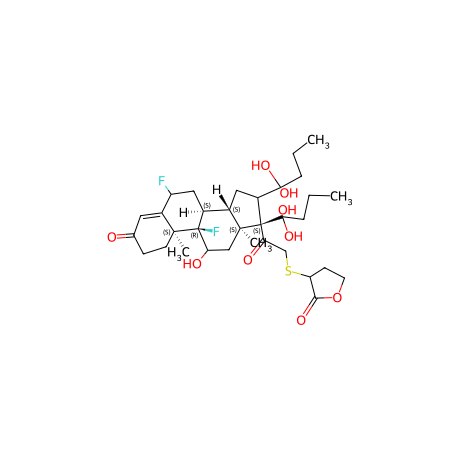 CCCC(O)(O)C1C[C@H]2[C@@H]3CC(F)C4=CC(=O)CC[C@]4(C)[C@@]3(F)C(O)C[C@]2(C)[C@]1(C(=O)CSC1CCOC1=O)C(O)(O)CCC